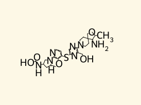 C[C@@H]1OCC2(CCN(c3ncc(Sc4ccnc5c4OC[C@@H]4C[C@@H](NC(=O)O)CN54)nc3CO)CC2)[C@@H]1N